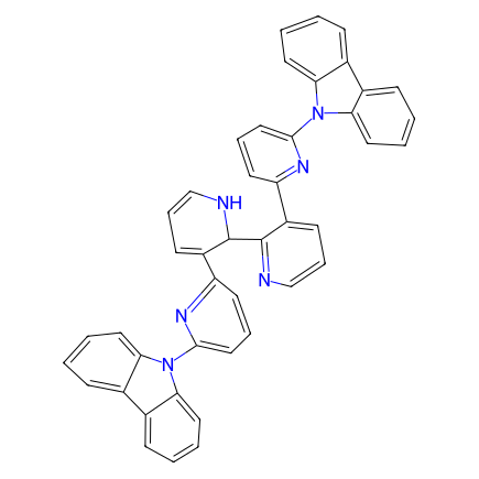 C1=CNC(c2ncccc2-c2cccc(-n3c4ccccc4c4ccccc43)n2)C(c2cccc(-n3c4ccccc4c4ccccc43)n2)=C1